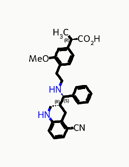 COc1cc([C@@H](C)C(=O)O)ccc1CCN[C@H](c1ccccc1)[C@H]1CNc2cccc(C#N)c2C1